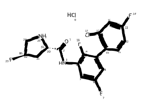 Cl.O=C(Nc1cc(F)cc(-c2ccc(F)cc2Cl)c1F)[C@@H]1C[C@@H](F)CN1